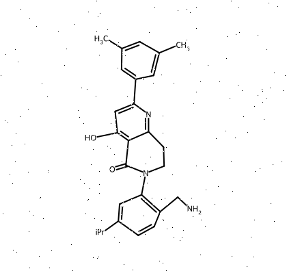 Cc1cc(C)cc(-c2cc(O)c3c(n2)CCN(c2cc(C(C)C)ccc2CN)C3=O)c1